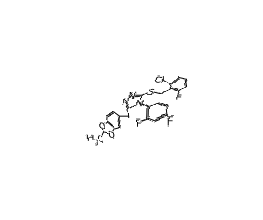 CC1Oc2ccc(Cc3nnc(SCc4c(F)cccc4Cl)n3-c3ccc(F)cc3F)cc2O1